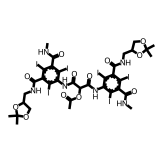 CNC(=O)c1c(I)c(NC(=O)C(OC(C)=O)C(=O)Nc2c(I)c(C(=O)NC)c(I)c(C(=O)NCC3COC(C)(C)O3)c2I)c(I)c(C(=O)NCC2COC(C)(C)O2)c1I